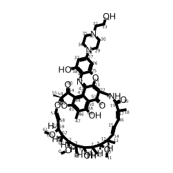 CO[C@H]1[C@H](C)[C@H](O)[C@H](C)[C@@H](OC)[C@@H](C)/C=C/C=C(/C)C(=O)Nc2c3oc4cc(N5CCN(CCO)CC5)cc(O)c4nc-3c3c4c(c(C)c(O)c3c2=O)O[C@](C)(O/C=C/[C@H](OC)[C@H]1C)C4=O